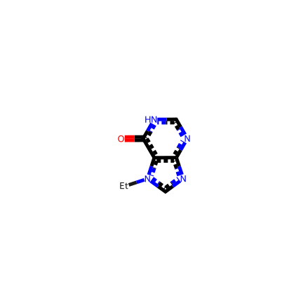 CCn1cnc2nc[nH]c(=O)c21